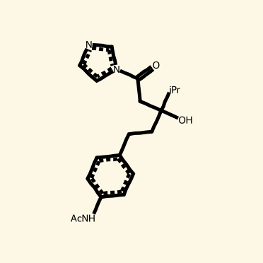 CC(=O)Nc1ccc(CCC(O)(CC(=O)n2ccnc2)C(C)C)cc1